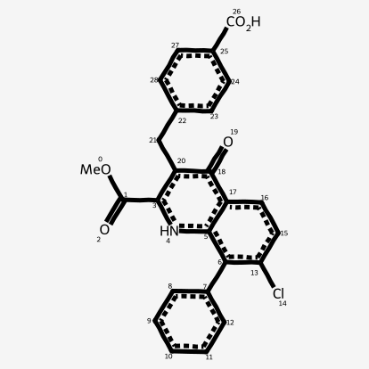 COC(=O)c1[nH]c2c(-c3ccccc3)c(Cl)ccc2c(=O)c1Cc1ccc(C(=O)O)cc1